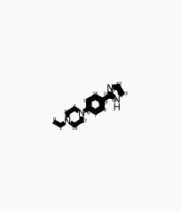 CCN1CCN(c2ccc(-c3ncc[nH]3)cc2)CC1